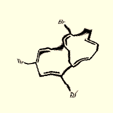 Brc1cc(Br)c2cccc(Br)c2c1